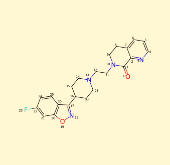 O=C1c2ncccc2CCN1CCN1CCC(c2noc3cc(F)ccc23)CC1